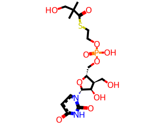 CC(C)(CO)C(=O)SCCOP(=O)(O)OC[C@H]1O[C@@H](n2ccc(=O)[nH]c2=O)[C@H](O)[C@@H]1CO